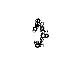 O=C(Nc1c(F)cccc1Cl)c1cc2c(s1)-c1ccccc1N(C(=O)c1ccc(NC(=O)c3cccnc3N3CC4(CCOCC4)C3)cc1F)CC2